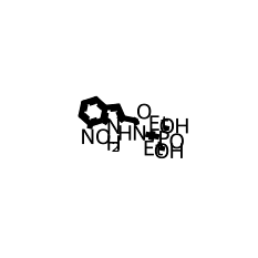 CCC(CC)(NC(=O)c1cc2cccc([N+](=O)[O-])c2[nH]1)P(=O)(O)O